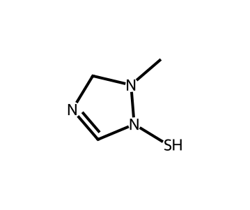 CN1CN=CN1S